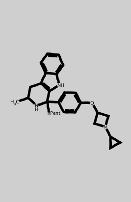 CCCCCC1(c2ccc(OC3CN(C4CC4)C3)cc2)NC(C)Cc2c1[nH]c1ccccc21